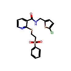 O=C(NCc1ccc(Cl)s1)c1cccnc1SCCS(=O)(=O)c1ccccc1